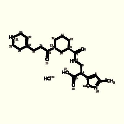 Cc1cc([C@H](CNC(=O)[C@@H]2CCCN(C(=O)CCC3=CCNCC3)C2)C(=O)O)on1.Cl